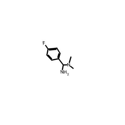 CN(C)C(N)c1ccc(F)cc1